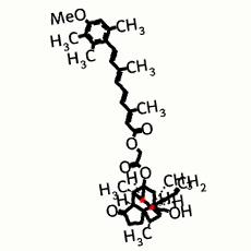 C=C[C@]1(C)C[C@@H](OC(=O)COC(=O)/C=C(C)/C=C/C=C(C)/C=C/c2c(C)cc(OC)c(C)c2C)[C@]2(C)CC[C@H]3C([C@H](C)C34CCC(=O)[C@H]42)[C@@H]1O